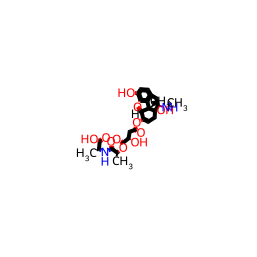 CC[C@]12c3c4ccc(O)c3O[C@H]1C(OC(=O)C[C@H](O)C(=O)O[C@@H](C)C(=O)N[C@@H](C)C(=O)O)=CC[C@@]2(O)[C@H](NC)C4